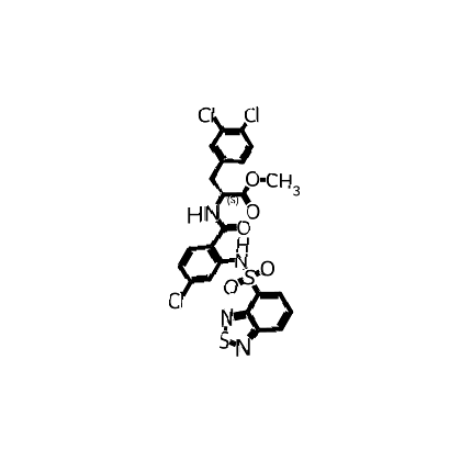 COC(=O)[C@H](Cc1ccc(Cl)c(Cl)c1)NC(=O)c1ccc(Cl)cc1NS(=O)(=O)c1cccc2nsnc12